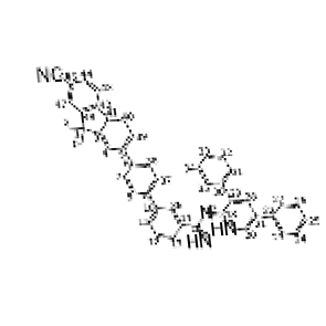 CC1(C)C2=CC(c3ccc(-c4cccc(C(=N)/N=c5\[nH]cc(-c6ccccc6)cc5-c5ccccc5)c4)cc3)=CCC2c2ccc(C#N)cc21